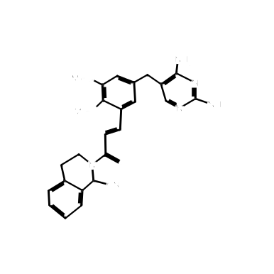 COc1cc(Cc2cnc(N)nc2N)cc(C=CC(=O)N2CCc3ccccc3C2C#N)c1OC